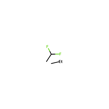 CC(F)F.CCC